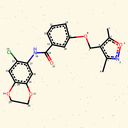 Cc1noc(C)c1COc1cccc(C(=O)Nc2cc3c(cc2Cl)OCCO3)c1